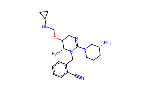 C[C@@H]1C(OCNC2CC2)CN=C(N2CCC[C@@H](N)C2)N1Cc1ccccc1C#N